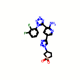 Nc1ncc(-c2cn(C3CCS(=O)(=O)C3)nn2)cc1-c1nnnn1-c1cccc(F)c1F